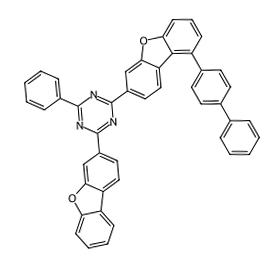 c1ccc(-c2ccc(-c3cccc4oc5cc(-c6nc(-c7ccccc7)nc(-c7ccc8c(c7)oc7ccccc78)n6)ccc5c34)cc2)cc1